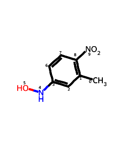 Cc1cc(NO)ccc1[N+](=O)[O-]